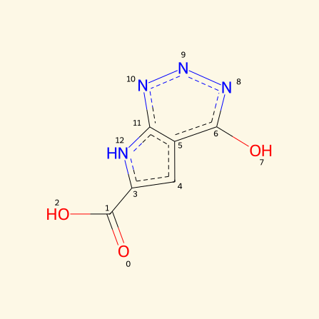 O=C(O)c1cc2c(O)nnnc2[nH]1